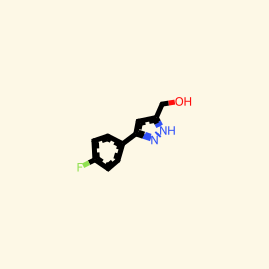 OCc1cc(-c2ccc(F)cc2)n[nH]1